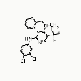 CN(Cc1ccccn1)c1nc(Nc2ccc(Cl)c(Cl)c2)ncc1C(F)(F)F